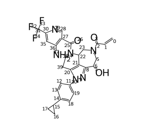 C=CC(=O)N1CC(O)c2nn(-c3ccc(C4CC4)cc3)c3c2C(C1)N(C(=O)c1cnc(C(F)(F)F)cc1N)CC3